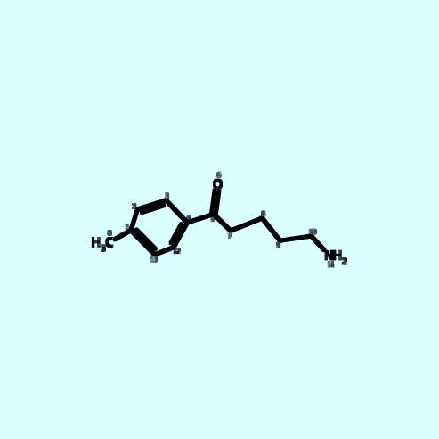 Cc1ccc(C(=O)CCCCN)cc1